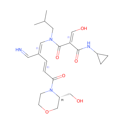 CC(C)CN(/C=C(C=N)\C=C\C(=O)N1CCOC[C@H]1CO)C(=O)/C(=C/O)C(=O)NC1CC1